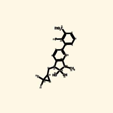 CCOC(=O)c1cccc(-c2ccc3c(n2)N(C)S(O)(O)N3CC2CC2(F)F)c1F